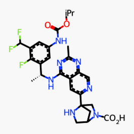 Cc1nc(N[C@H](C)c2cc(NC(=O)OC(C)C)cc(C(F)F)c2F)c2cc(C34CC(CN3)N(C(=O)O)C4)ncc2n1